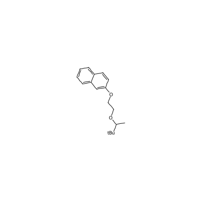 CC(OCCOc1ccc2ccccc2c1)C(C)(C)C